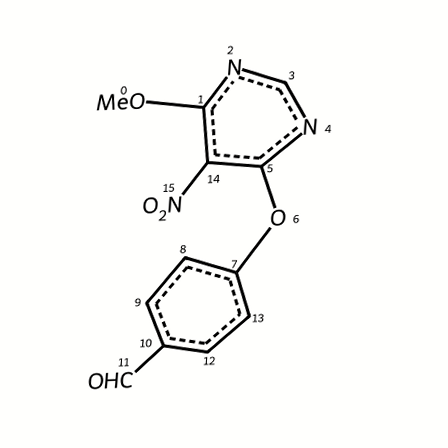 COc1ncnc(Oc2ccc(C=O)cc2)c1[N+](=O)[O-]